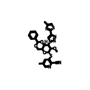 COC1C(n2cc(-c3nc(C)cs3)nn2)[C@H]2OC(c3ccccc3)OCC2O[C@@H]1Sc1cc(C)cnc1C#N